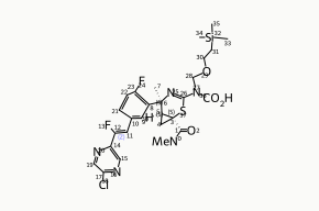 CNC(=O)[C@]12C[C@H]1[C@@](C)(c1cc(/C=C(\F)c3cnc(Cl)cn3)ccc1F)N=C(N(COCC[Si](C)(C)C)C(=O)O)S2